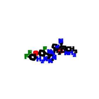 CC(C)(N)/C=C(/C#N)C(=O)N1CCC[C@@H]1Cn1nc(-c2ccc(Oc3cccc(F)c3F)cc2F)c2c(N)ncnc21